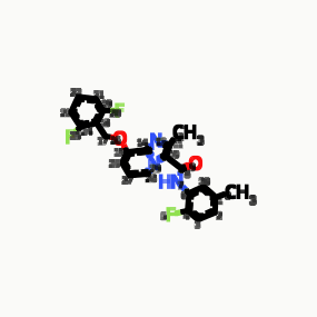 Cc1ccc(F)c(NC(=O)c2c(C)nc3c(OCc4c(F)cccc4F)cccn23)c1